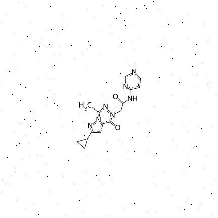 Cc1nn(CC(=O)Nc2ccncn2)c(=O)c2cc(C3CC3)nn12